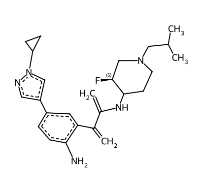 C=C(NC1CCN(CC(C)C)C[C@@H]1F)C(=C)c1cc(-c2cnn(C3CC3)c2)ccc1N